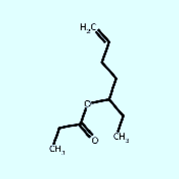 C=CCCC(CC)OC(=O)CC